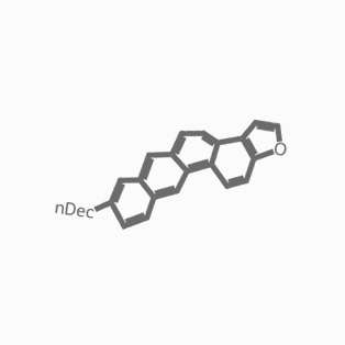 CCCCCCCCCCc1ccc2cc3c(ccc4c5ccoc5ccc34)cc2c1